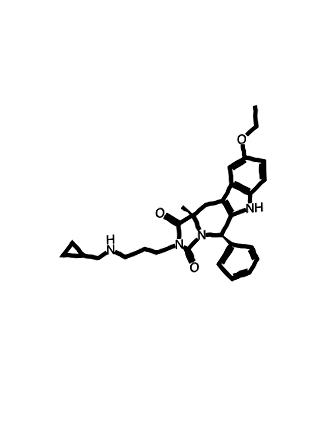 CCOc1ccc2[nH]c3c(c2c1)C[C@@]1(C)C(=O)N(CCCNCC2CC2)C(=O)N1[C@@H]3c1ccccc1